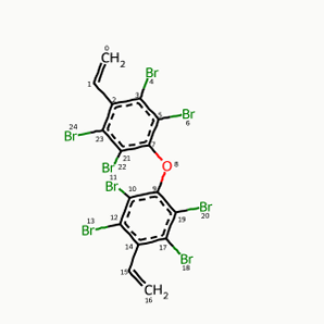 C=Cc1c(Br)c(Br)c(Oc2c(Br)c(Br)c(C=C)c(Br)c2Br)c(Br)c1Br